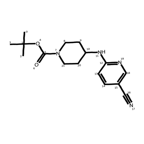 CC(C)(C)OC(=O)N1CCC(Nc2ccc(C#N)cn2)CC1